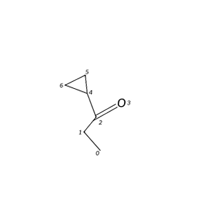 CCC(=O)C1CC1